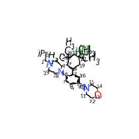 CC(C)CN1CCN(c2ccc(N3CCOCC3)cc2C2CC(C)(C)CC(C)(C)C2)CC1.Cl